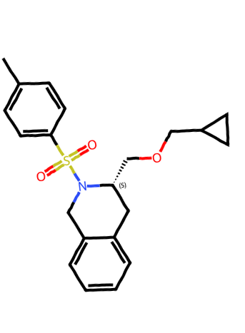 Cc1ccc(S(=O)(=O)N2Cc3ccccc3C[C@H]2COCC2CC2)cc1